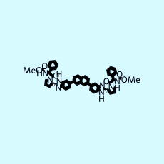 COC(=O)N[C@@H](C(=O)N1CCC[C@H]1c1nc2cc(-c3ccc4ccc(-c5ccc6nc([C@@H]7CCCN7C(=O)[C@H](NC(=O)OC)c7ccccc7)[nH]c6c5)cc4c3)ccc2[nH]1)c1ccccc1